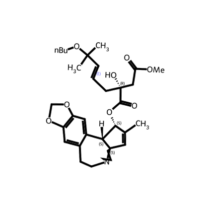 CCCCOC(C)(C)/C=C/C[C@@](O)(CC(=O)OC)C(=O)O[C@@H]1C(C)=C[C@]23CCCN2CCc2cc4c(cc2[C@H]13)OCO4